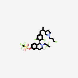 CC(Cc1cc(F)c([C@@H]2c3ccc(OS(=O)(=O)C(F)(F)F)cc3C[C@@H](C)N2CC(C)(F)F)c(F)c1)C1CCN(CCCF)C1